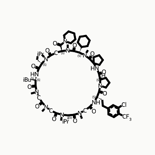 CC[C@H](C)[C@@H]1NC(=O)[C@H](CC(C)C)N(C)C(=O)C[C@@H](C(=O)N2CCCCC2)N(C)C(=O)[C@H](C2CCCCC2)N(C)C(=O)C2(CCCC2)NC(=O)[C@@H]2CCCN2C(=O)[C@H](CCc2ccc(C(F)(F)F)c(Cl)c2)NC(=O)CN(C)C(=O)[C@H](C(C)C)N(C)C(=O)CN(C)C(=O)CN(C)C1=O